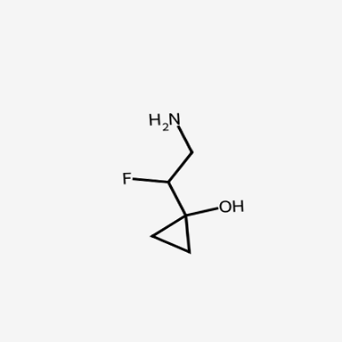 NCC(F)C1(O)CC1